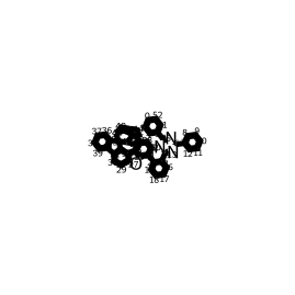 c1ccc(-c2nc(-c3ccccc3)nc(-c3ccccc3-c3cccc4c3oc3ccc5c(c34)C3(c4ccccc4-5)C4CC5CC(C4)CC3C5)n2)cc1